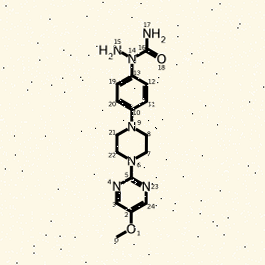 COc1cnc(N2CCN(c3ccc(N(N)C(N)=O)cc3)CC2)nc1